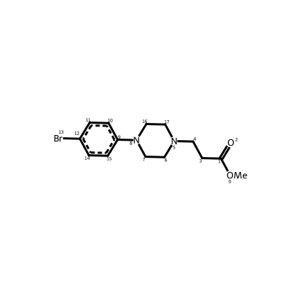 COC(=O)CCN1CCN(c2ccc(Br)cc2)CC1